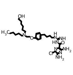 CCCCCCN(CCCCCCO)CCOc1ccc(CCCCNC(=N)NC(=O)c2nc(Cl)c(N)nc2N)cc1